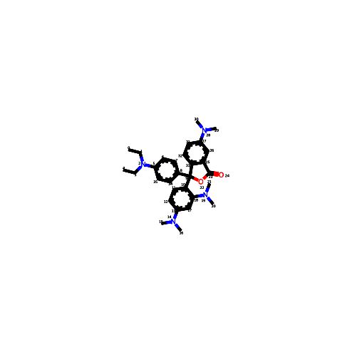 CCN(CC)c1ccc(C2(c3ccc(N(C)C)cc3N(C)C)OC(=O)c3cc(N(C)C)ccc32)cc1